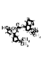 CN(C[C@@H](c1cccc(N(C)C)c1)N1CC[C@H](O)C1)C(=O)COc1ccc(NS(C)(=O)=O)c2ncccc12